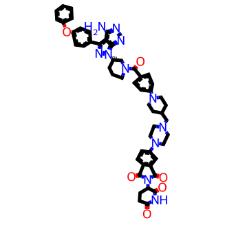 Nc1ncnc2c1c(-c1ccc(Oc3ccccc3)cc1)nn2[C@@H]1CCCN(C(=O)c2ccc(N3CCC(CN4CCN(c5ccc6c(c5)C(=O)N(C5CCC(=O)NC5=O)C6=O)CC4)CC3)cc2)C1